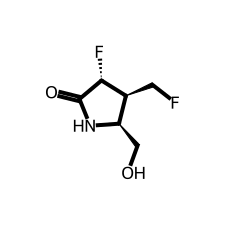 O=C1N[C@H](CO)[C@H](CF)[C@H]1F